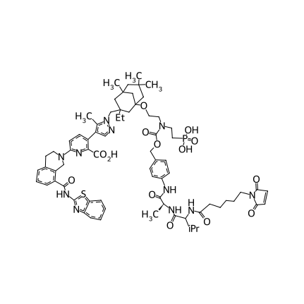 CCC1(Cn2ncc(-c3ccc(N4CCc5cccc(C(=O)Nc6nc7ccccc7s6)c5C4)nc3C(=O)O)c2C)CC2(C)CC(C)(C)CC(OCCN(CCP(=O)(O)O)C(=O)OCc3ccc(NC(=O)[C@H](C)NC(=O)C(NC(=O)CCCCCN4C(=O)C=CC4=O)C(C)C)cc3)(C2)C1